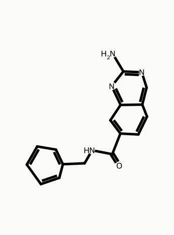 Nc1ncc2ccc(C(=O)NCc3ccccc3)cc2n1